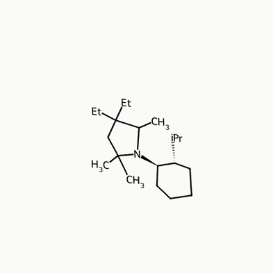 CCC1(CC)CC(C)(C)N([C@@H]2CCCC[C@H]2C(C)C)C1C